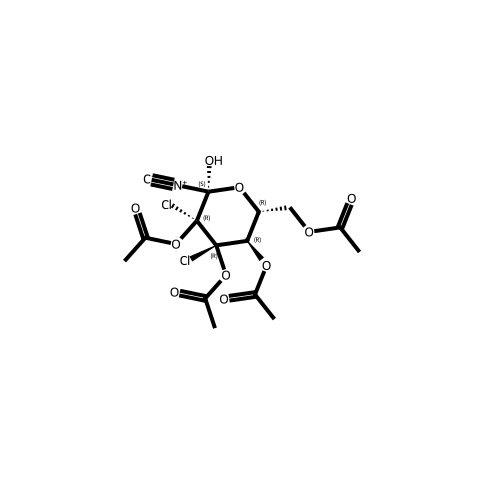 [C-]#[N+][C@@]1(O)O[C@H](COC(C)=O)[C@@H](OC(C)=O)[C@](Cl)(OC(C)=O)[C@@]1(Cl)OC(C)=O